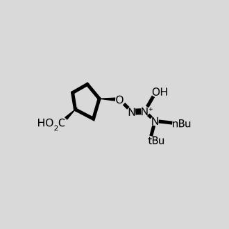 CCCCN(/[N+](O)=N/O[C@@H]1CC[C@H](C(=O)O)C1)C(C)(C)C